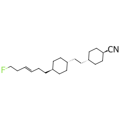 N#C[C@H]1CC[C@H](CC[C@H]2CC[C@H](CCC=CCCF)CC2)CC1